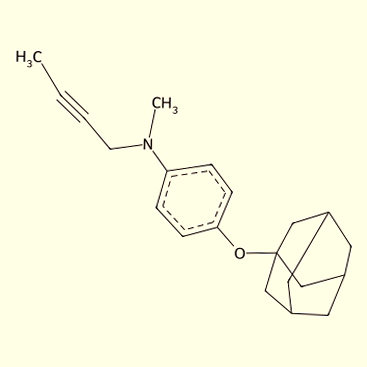 CC#CCN(C)c1ccc(OC23CC4CC(CC(C4)C2)C3)cc1